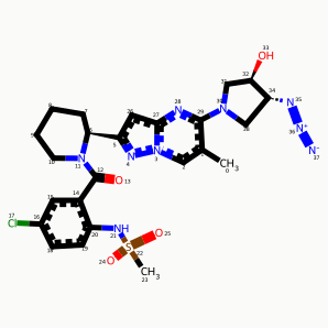 Cc1cn2nc([C@@H]3CCCCN3C(=O)c3cc(Cl)ccc3NS(C)(=O)=O)cc2nc1N1C[C@@H](O)[C@H](N=[N+]=[N-])C1